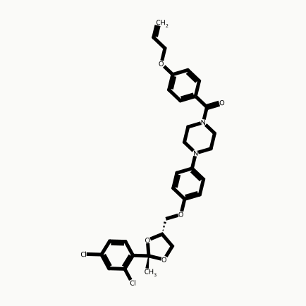 C=CCOc1ccc(C(=O)N2CCN(c3ccc(OC[C@@H]4CO[C@](C)(c5ccc(Cl)cc5Cl)O4)cc3)CC2)cc1